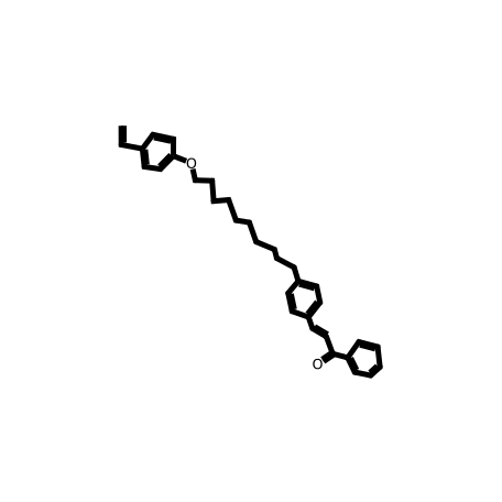 C=Cc1ccc(OCCCCCCCCCCc2ccc(/C=C/C(=O)c3ccccc3)cc2)cc1